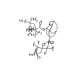 CNC(C)(CC(C)(C)C)C(=O)OC12CC3CC(C1)CC(C(=O)OC(CS(=O)(=O)O)(C(F)(F)F)C(F)(F)F)(C3)C2